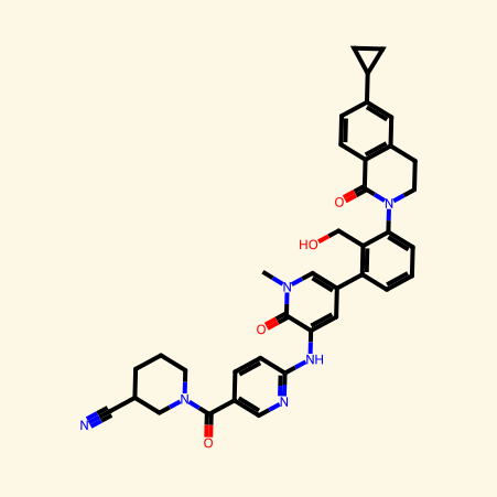 Cn1cc(-c2cccc(N3CCc4cc(C5CC5)ccc4C3=O)c2CO)cc(Nc2ccc(C(=O)N3CCCC(C#N)C3)cn2)c1=O